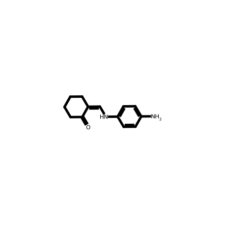 Nc1ccc(NC=C2CCCCC2=O)cc1